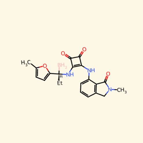 B[C@](CC)(Nc1c(Nc2cccc3c2C(=O)N(C)C3)c(=O)c1=O)c1ccc(C)o1